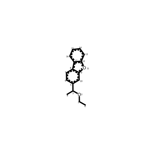 CCOC(C)c1ccc2c(c1)oc1ccccc12